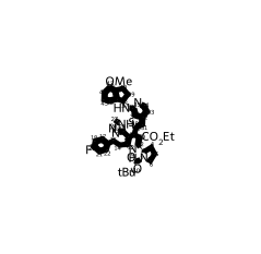 CCOC(=O)C1=C([C@@H]2CCCN2C(=O)OC(C)(C)C)NC(CCc2ccc(F)cc2)=C(c2nnc[nH]2)C1c1cc2ccnc(N[C@@H]3CCc4c(OC)cccc43)c2s1